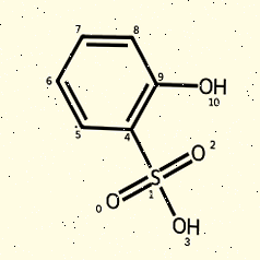 O=S(=O)(O)c1[c]cccc1O